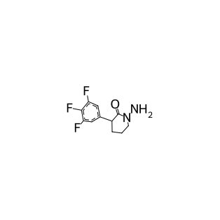 NN1CCCC(c2cc(F)c(F)c(F)c2)C1=O